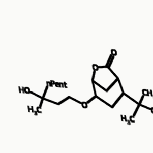 CCCCCC(C)(O)CCOC1CC(C(C)(C)O)C2CC1OC2=O